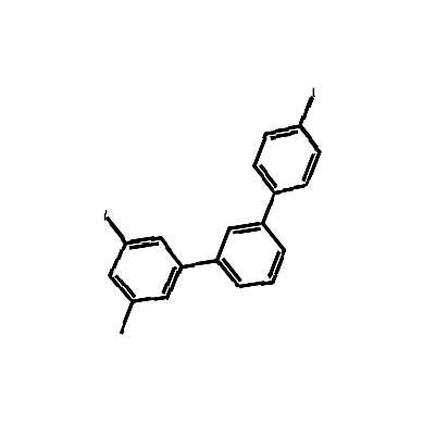 Cc1cc(I)cc(-c2cccc(-c3ccc(I)cc3)c2)c1